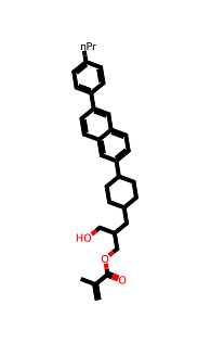 C=C(C)C(=O)OCC(CO)CC1CCC(c2ccc3cc(-c4ccc(CCC)cc4)ccc3c2)CC1